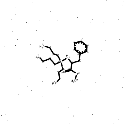 CCC[CH2][Sn]([CH2]CCC)([CH2]CCC)[NH]C(Cc1ccccc1)C(=O)OC